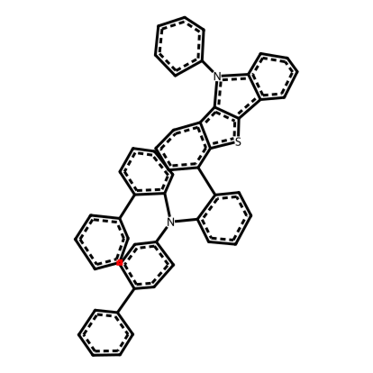 c1ccc(-c2ccc(N(c3ccccc3-c3ccccc3)c3ccccc3-c3cccc4c3sc3c5ccccc5n(-c5ccccc5)c43)cc2)cc1